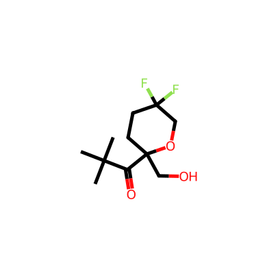 CC(C)(C)C(=O)C1(CO)CCC(F)(F)CO1